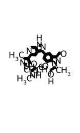 CNC[C@H](C)Oc1c(-c2cc3c(-c4cc(OC)c5c(c4)c(C=O)nn5[C@@H](C)CO)n[nH]c3cn2)c(C)nn1C